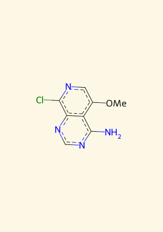 COc1cnc(Cl)c2ncnc(N)c12